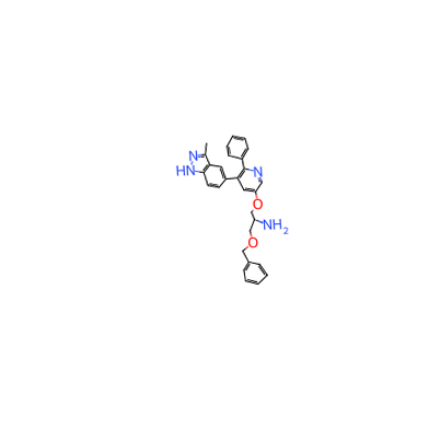 Cc1n[nH]c2ccc(-c3cc(OC[C@@H](N)COCc4ccccc4)cnc3-c3ccccc3)cc12